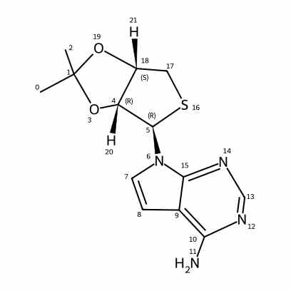 CC1(C)O[C@H]2[C@H](n3ccc4c(N)ncnc43)SC[C@H]2O1